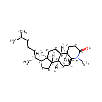 CC(C)CCC[C@@H](C)[C@H]1CC[C@H]2[C@@H]3CC=C4N(C)C(=O)CC[C@]4(C)[C@H]3CC[C@]12C